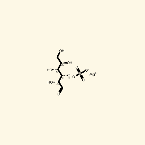 O=C[C@H](O)[C@@H](O)[C@H](O)[C@H](O)CO.O=S(=O)([O-])[O-].[Mg+2]